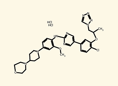 COc1cc(N2CCC(N3CCOCC3)CC2)ccc1Nc1ncc(-c2ccc(Cl)c(OC(C)Cn3cnnn3)c2)cn1.Cl.Cl